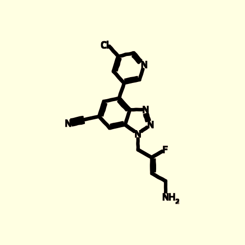 N#Cc1cc(-c2cncc(Cl)c2)c2nnn(C/C(F)=C/CN)c2c1